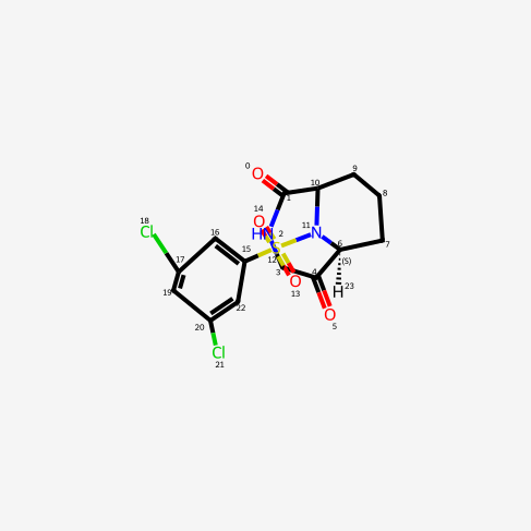 O=C1NCC(=O)[C@@H]2CCCC1N2S(=O)(=O)c1cc(Cl)cc(Cl)c1